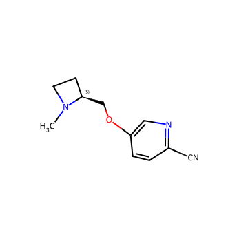 CN1CC[C@H]1COc1ccc(C#N)nc1